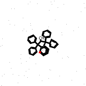 CC(C(c1ccccc1)(c1ccccc1)c1ccccc1)C(c1ccccc1)(c1ccccc1)c1ccccc1